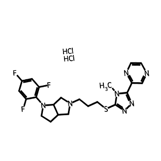 Cl.Cl.Cn1c(SCCCN2CC3CCN(c4c(F)cc(F)cc4F)C3C2)nnc1-c1cnccn1